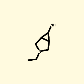 CCN1CC2C([NH])C2C1